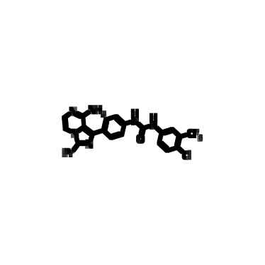 CC(C)c1nc(-c2ccc(NC(=O)Nc3ccc(Cl)c(C(F)(F)F)c3)cc2)c2c(N)nccn12